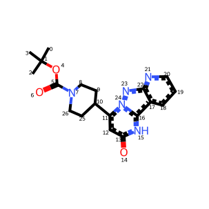 CC(C)(C)OC(=O)N1CCC(c2cc(=O)[nH]c3c4cccnc4nn23)CC1